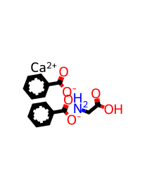 NCC(=O)O.O=C([O-])c1ccccc1.O=C([O-])c1ccccc1.[Ca+2]